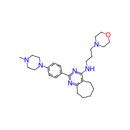 CN1CCN(c2ccc(-c3nc4c(c(NCCCN5CCOCC5)n3)CCCCC4)cc2)CC1